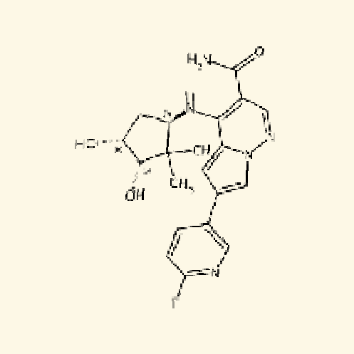 CC1(C)[C@H](O)[C@H](O)C[C@H]1Nc1c(C(N)=O)cnn2cc(-c3ccc(F)nc3)cc12